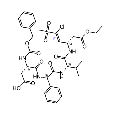 CCOC(=O)C[C@@H](/C=C(\Cl)S(C)(=O)=O)NC(=O)[C@@H](NC(=O)[C@@H](NC(=O)[C@H](CC(=O)O)NC(=O)OCc1ccccc1)c1ccccc1)C(C)C